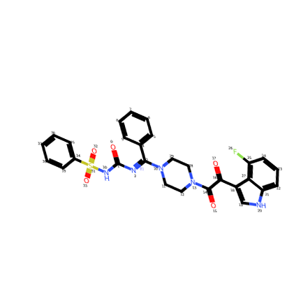 O=C(/N=C(\c1ccccc1)N1CCN(C(=O)C(=O)c2c[nH]c3cccc(F)c23)CC1)NS(=O)(=O)c1ccccc1